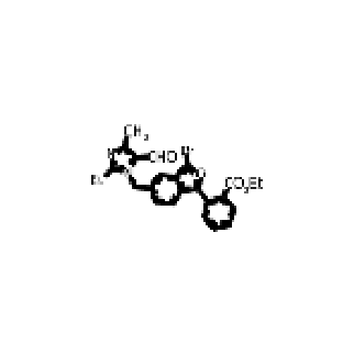 CCOC(=O)c1ccccc1-c1oc(Br)c2cc(Cn3c(CC)nc(C)c3C=O)ccc12